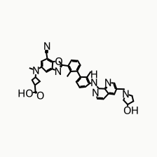 Cc1c(Nc2nccc3cc(CN4CCC(O)C4)cnc23)cccc1-c1cccc(-c2nc3cc(N(C)C4CC(C(=O)O)C4)cc(C#N)c3o2)c1C